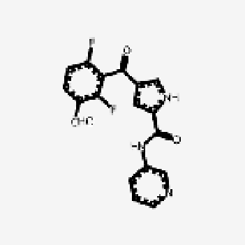 O=Cc1ccc(F)c(C(=O)c2c[nH]c(C(=O)Nc3cccnc3)c2)c1F